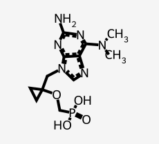 CN(C)c1nc(N)nc2c1ncn2CC1(OCP(=O)(O)O)CC1